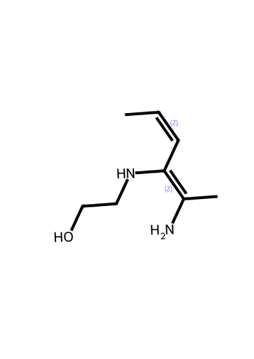 C/C=C\C(NCCO)=C(/C)N